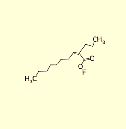 CCCCCCCC=C(CCC)C(=O)OF